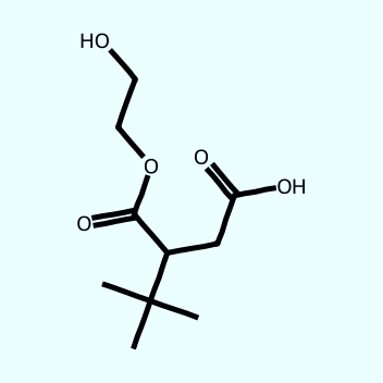 CC(C)(C)C(CC(=O)O)C(=O)OCCO